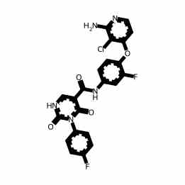 Nc1nccc(Oc2ccc(NC(=O)c3c[nH]c(=O)n(-c4ccc(F)cc4)c3=O)cc2F)c1Cl